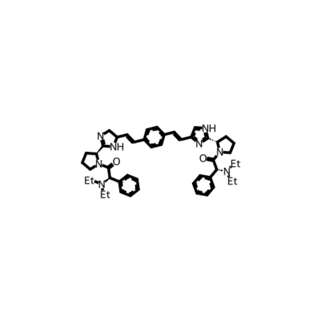 CCN(CC)[C@@H](C(=O)N1CCC[C@H]1C1=NCC(/C=C/c2ccc(/C=C/c3c[nH]c([C@@H]4CCCN4C(=O)[C@@H](c4ccccc4)N(CC)CC)n3)cc2)N1)c1ccccc1